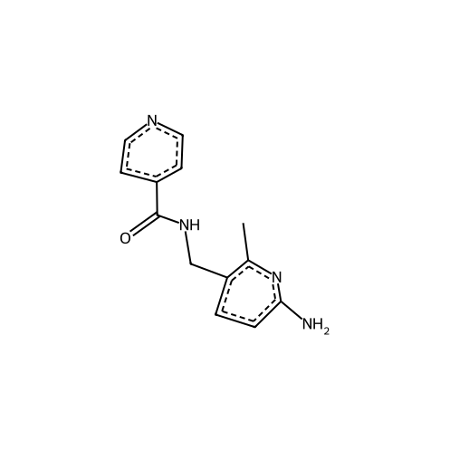 Cc1nc(N)ccc1CNC(=O)c1ccncc1